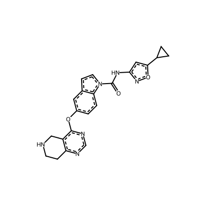 O=C(Nc1cc(C2CC2)on1)n1ccc2cc(Oc3ncnc4c3CNCC4)ccc21